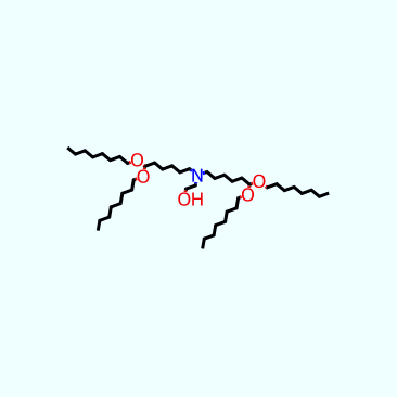 CCCCCCCCOC(CCCCCN(CCO)CCCCCC(OCCCCCCCC)OCCCCCCCC)OCCCCCCCC